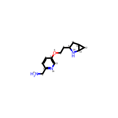 NCc1ccc(OCCC2CC3CC3N2)cn1